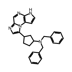 c1ccc(CN(Cc2ccccc2)C2CCC(c3cnc4cnc5[nH]ccc5n34)C2)cc1